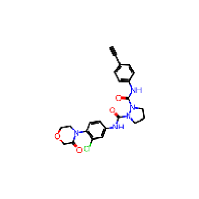 C#Cc1ccc(NC(=O)N2CCCN2C(=O)Nc2ccc(N3CCOCC3=O)c(Cl)c2)cc1